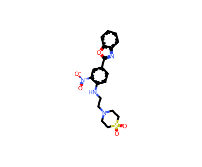 O=[N+]([O-])c1cc(-c2nc3ccccc3o2)ccc1NCCN1CCS(=O)(=O)CC1